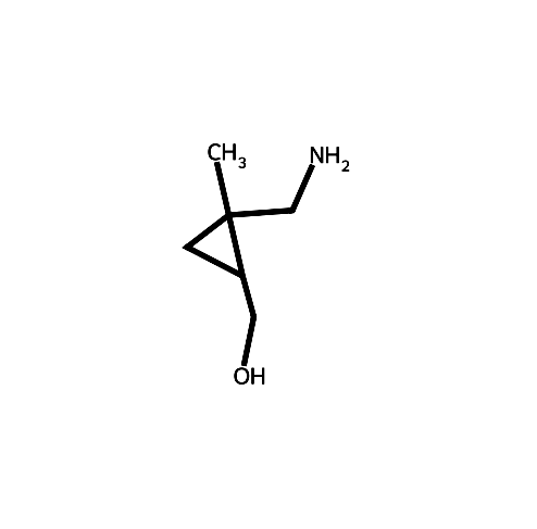 CC1(CN)CC1CO